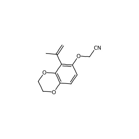 C=C(C)c1c(OCC#N)ccc2c1OCCO2